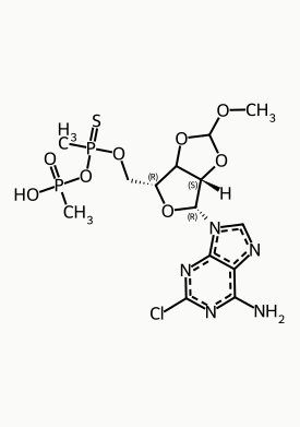 COC1OC2[C@@H](COP(C)(=S)OP(C)(=O)O)O[C@@H](n3cnc4c(N)nc(Cl)nc43)[C@H]2O1